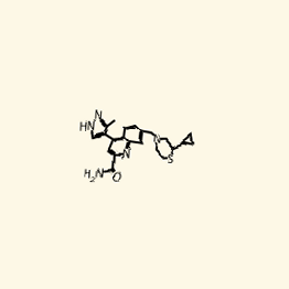 Cc1n[nH]cc1-c1cc(C(N)=O)nc2cc(CN3CCSC(C4CC4)C3)ccc12